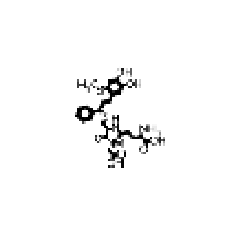 COc1cc(O)c(O)cc1/C=C/C(SCC(NC(=O)CCC(N)C(=O)O)C(=O)NCC(=O)O)c1ccccc1